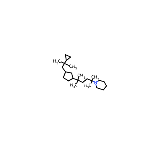 CC(C)(CCC(C)(C)N1CCCCC1)C1CCC(CC(C)(C)C2CC2)C1